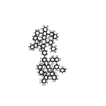 c1ccc(-c2cc(-c3ccccc3)cc(N3c4cc5c(-c6ccccc6)c6cc(-c7ccc8c(c7)oc7c9c%10c(cc78)N(c7cc(-c8ccccc8)cc(-c8ccccc8)c7)c7cc8c(-c%11ccccc%11)c%11ccccc%11c(-c%11ccccc%11)c8cc7B%10n7c8ccccc8c8c%10ccccc%10cc-9c87)ccc6c(-c6ccccc6)c5cc4B4c5c3cc3ccccc3c5-c3cc5ccccc5c5c6ccccc6n4c35)c2)cc1